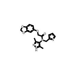 Cc1n[nH]c(C)c1N(Cc1cccs1)C(=O)COc1ccc2c(c1)OCO2